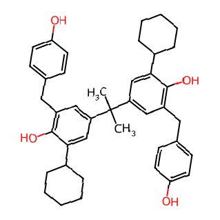 CC(C)(c1cc(Cc2ccc(O)cc2)c(O)c(C2CCCCC2)c1)c1cc(Cc2ccc(O)cc2)c(O)c(C2CCCCC2)c1